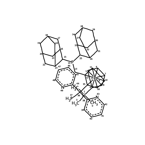 C[Si](C)(C)[C]12[CH]3[CH]4[CH]5[CH]1[Fe]45321678[CH]2[CH]1[C]6(CP(C1C3CC4CC(C3)CC1C4)C1C3CC4CC(C3)CC1C4)[C]7(C(P)(c1ccccn1)c1ccccn1)[CH]28